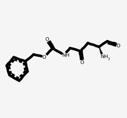 N[C@H]([C]=O)CC(=O)CNC(=O)OCc1ccccc1